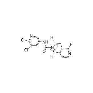 O=C(Nc1cnc(Cl)c(Cl)c1)N1[C@H]2CC[C@@H]1c1ccnc(F)c1C2